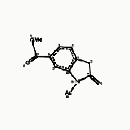 C=C1Cc2ccc(C(=O)OC)cc2N1C(C)=O